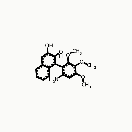 COc1cc(N)c(-c2c(O)c(O)cc3ccccc23)c(OC)c1OC